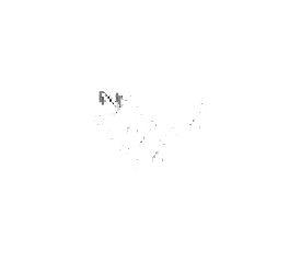 O=C(C=Cc1ccccc1)C=Cc1ccccc1.O=C(C=Cc1ccccc1)C=Cc1ccccc1.O=C(C=Cc1ccccc1)C=Cc1ccccc1.O=C(C=Cc1ccccc1)C=Cc1ccccc1.O=C(C=Cc1ccccc1)C=Cc1ccccc1.[Pd].[Pd].[Pd]